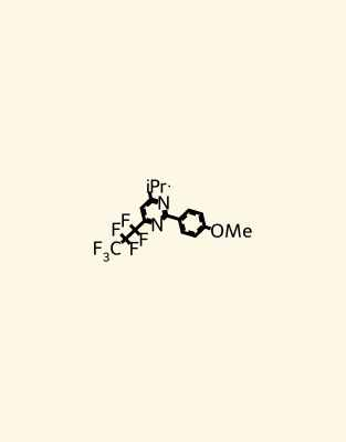 COc1ccc(-c2nc([C](C)C)cc(C(F)(F)C(F)(F)C(F)(F)F)n2)cc1